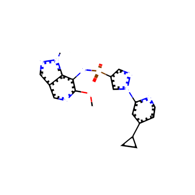 COc1ncc2cnn(C)c2c1NS(=O)(=O)c1cnn(-c2cc(C3CC3)ccn2)c1